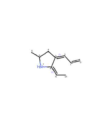 C=C/C=C1/CC(C)N/C1=C/C